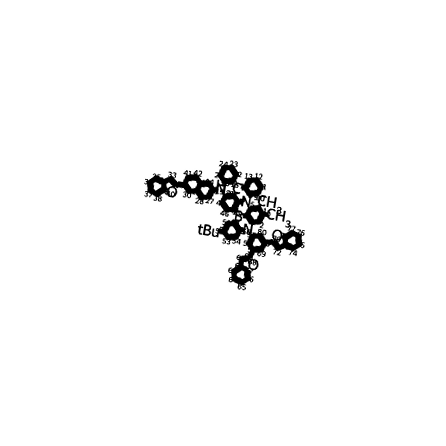 Cc1cc2c3c(c1)N(c1c(C)cccc1C)c1cc(N(c4ccccc4)c4ccc5cc(-c6cc7ccccc7o6)ccc5c4)ccc1B3c1cc(C(C)(C)C)ccc1N2c1cc(-c2cc3ccccc3o2)cc(-c2cc3ccccc3o2)c1